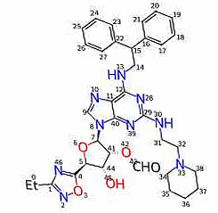 CCc1noc([C@H]2O[C@@H](n3cnc4c(NCC(c5ccccc5)c5ccccc5)nc(NCCN5CCCCC5)nc43)[C@H](OC=O)[C@@H]2O)n1